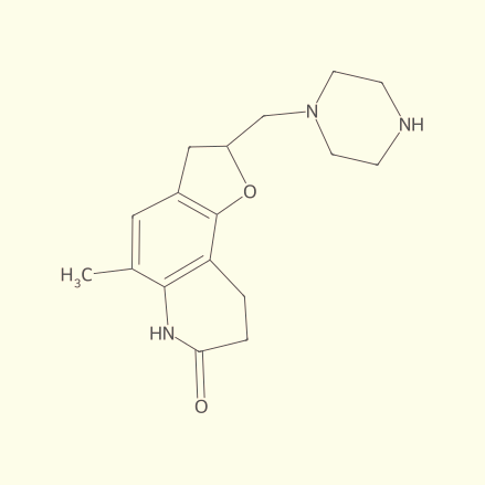 Cc1cc2c(c3c1NC(=O)CC3)OC(CN1CCNCC1)C2